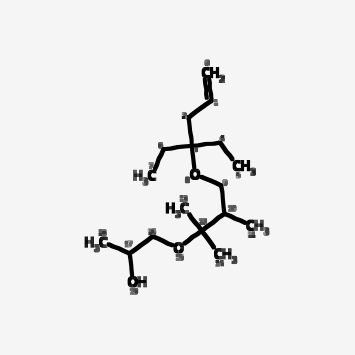 C=CCC(CC)(CC)OCC(C)C(C)(C)OCC(C)O